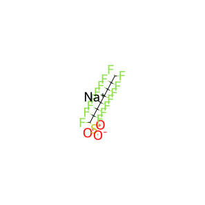 O=S(=O)([O-])C(F)C(F)(F)C(F)(F)C(F)(F)C(F)(F)C(F)(F)C(F)(F)C(F)F.[Na+]